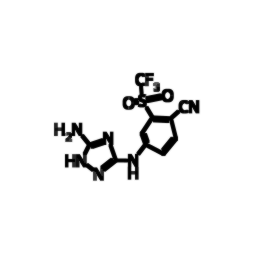 N#Cc1ccc(Nc2n[nH]c(N)n2)cc1S(=O)(=O)C(F)(F)F